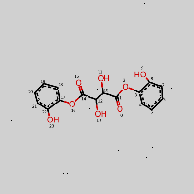 O=C(Oc1ccccc1O)C(O)C(O)C(=O)Oc1ccccc1O